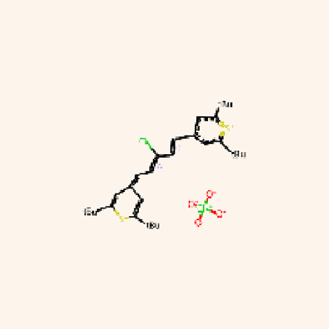 CC(C)(C)C1=CC(=C/C=C(Cl)/C=C/c2cc(C(C)(C)C)[s+]c(C(C)(C)C)c2)C=C(C(C)(C)C)S1.[O-][Cl+3]([O-])([O-])[O-]